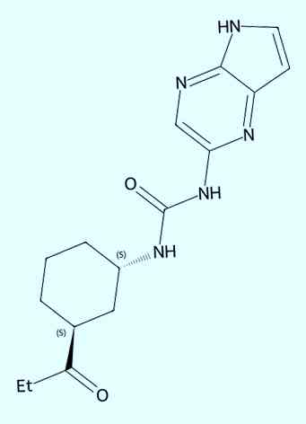 CCC(=O)[C@H]1CCC[C@H](NC(=O)Nc2cnc3[nH]ccc3n2)C1